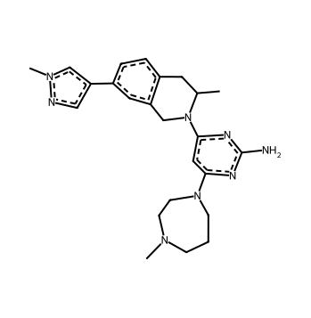 CC1Cc2ccc(-c3cnn(C)c3)cc2CN1c1cc(N2CCCN(C)CC2)nc(N)n1